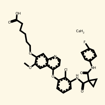 COc1cc2c(Oc3cccc(NC(=O)C4(C(=O)Nc5ccc(F)cc5)CC4)c3Cl)ccnc2cc1OCCCCCC(=O)O.[CaH2]